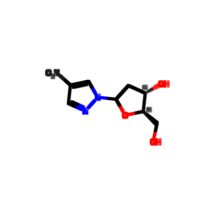 O=[N+]([O-])c1cnn(C2C[C@H](O)[C@@H](CO)O2)c1